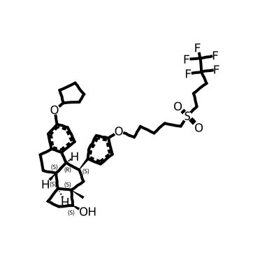 C[C@]12C[C@H](c3ccc(OCCCCCS(=O)(=O)CCCC(F)(F)C(F)(F)F)cc3)[C@@H]3c4ccc(OC5CCCC5)cc4CC[C@H]3[C@@H]1CC[C@@H]2O